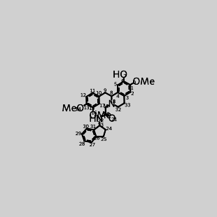 COc1cc2c(cc1O)C(Cc1ccc(OC)c(OC)c1)N(CC(=O)NC1CCc3ccccc31)CC2